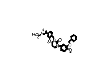 C=C(CNC(=O)O)c1ccc(CN2CCCN(c3ccc(OC)c(OCc4ccccc4)c3)C2=O)c(OC)c1